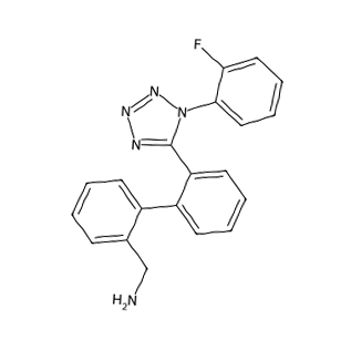 NCc1ccccc1-c1ccccc1-c1nnnn1-c1ccccc1F